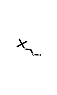 [CH2]C(C)(C)OCOCC